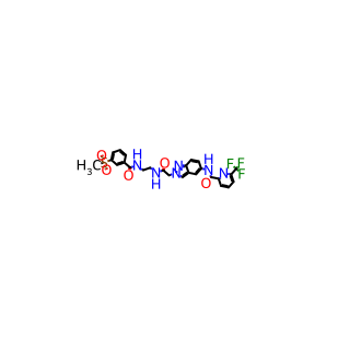 CS(=O)(=O)c1cccc(C(=O)NCCNC(=O)Cn2cc3cc(NC(=O)c4cccc(C(F)(F)F)n4)ccc3n2)c1